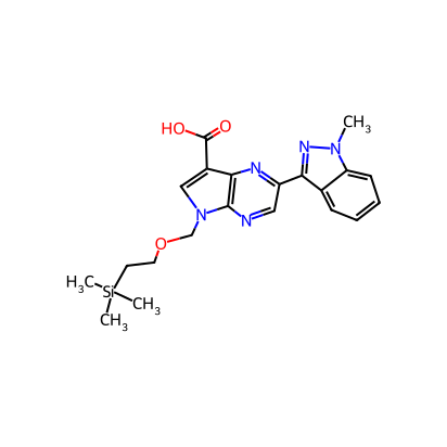 Cn1nc(-c2cnc3c(n2)c(C(=O)O)cn3COCC[Si](C)(C)C)c2ccccc21